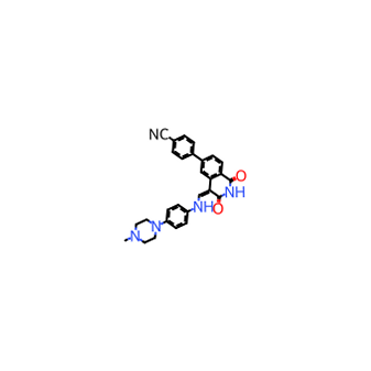 CN1CCN(c2ccc(N/C=C3\C(=O)NC(=O)c4ccc(-c5ccc(C#N)cc5)cc43)cc2)CC1